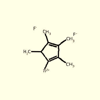 CC1=C(C)C(C)[C]([Ti+2])=C1C.[F-].[F-]